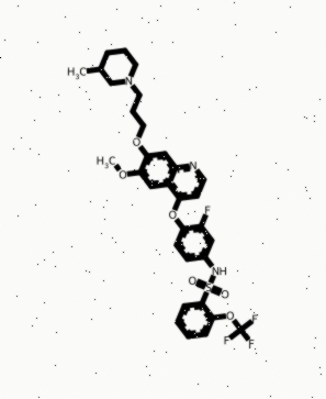 COc1cc2c(Oc3ccc(NS(=O)(=O)c4ccccc4OC(F)(F)F)cc3F)ccnc2cc1OCCCN1CCCC(C)C1